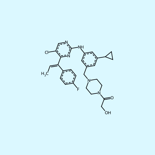 C/C=C(\c1ccc(F)cc1)c1nc(Nc2cc(CN3CCN(C(=O)CO)CC3)cc(C3CC3)c2)ncc1Cl